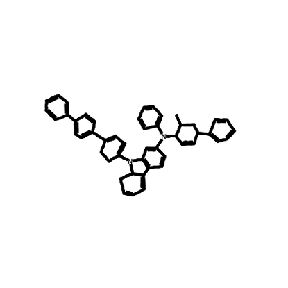 CC1CC(c2ccccc2)C=CC1N(c1ccccc1)c1ccc2c(c1)N(C1=CC=C(c3ccc(-c4ccccc4)cc3)CC1)C1CC=CC=C21